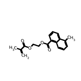 C=C(C)C(=O)OCCOC(=O)c1cccc2c(C)cccc12